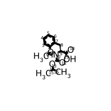 COc1ccccc1C[C@H](NC(=O)OC(C)C)C(=O)O